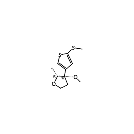 CO[C@]1(c2csc(SC)c2)CCO[C@@H]1C